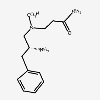 NC(=O)CCN(C[C@H](N)Cc1ccccc1)C(=O)O